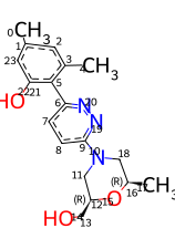 Cc1cc(C)c(-c2ccc(N3C[C@H](CO)O[C@H](C)C3)nn2)c(O)c1